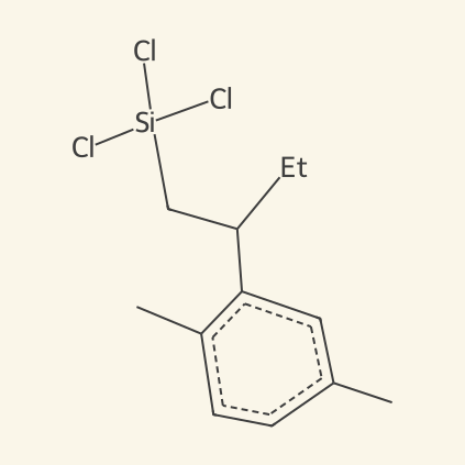 CCC(C[Si](Cl)(Cl)Cl)c1cc(C)ccc1C